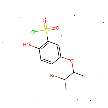 CC(Oc1ccc(O)c(S(=O)(=O)Cl)c1)[C@H](C)Br